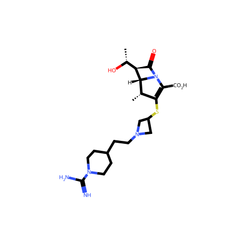 C[C@@H](O)[C@H]1C(=O)N2C(C(=O)O)=C(SC3CN(CCC4CCN(C(=N)N)CC4)C3)[C@H](C)[C@H]12